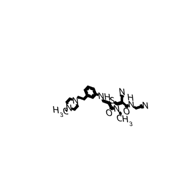 CCn1c(=C(C#N)C(=O)NCC#N)sc(=CNc2cccc(CCN3CCN(C)CC3)c2)c1=O